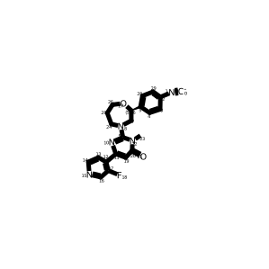 [C-]#[N+]c1ccc([C@H]2CN(c3nc(-c4ccncc4F)cc(=O)n3C)CCCO2)cc1